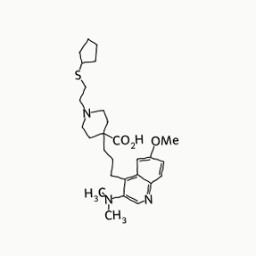 COc1ccc2ncc(N(C)C)c(CCCC3(C(=O)O)CCN(CCSC4CCCC4)CC3)c2c1